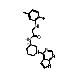 Cc1ccc(F)c(NCC(=O)N[C@@H]2CCCN(c3ncnc4[nH]ccc34)C2)c1